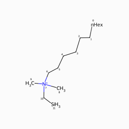 CCCCCCCCCCCC[N+](C)(C)C[SiH3]